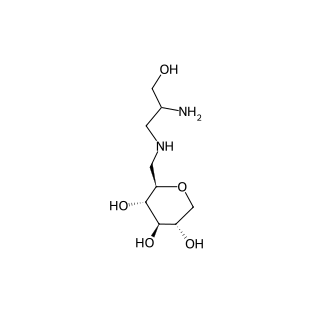 NC(CO)CNC[C@H]1OC[C@H](O)[C@@H](O)[C@@H]1O